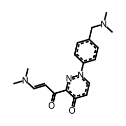 CN(C)C=CC(=O)c1nn(-c2ccc(CN(C)C)cc2)ccc1=O